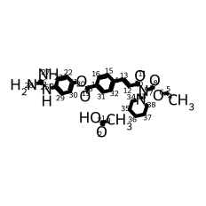 CC(=O)O.CCOC(=O)N(C(=O)C=Cc1ccc(C(=O)Oc2ccc(NC(=N)N)cc2)cc1)N1CCCCC1